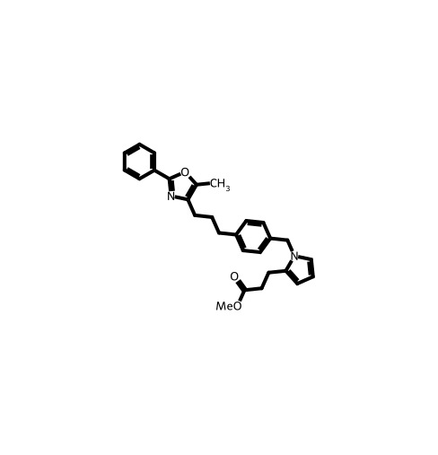 COC(=O)CCc1cccn1Cc1ccc(CCCc2nc(-c3ccccc3)oc2C)cc1